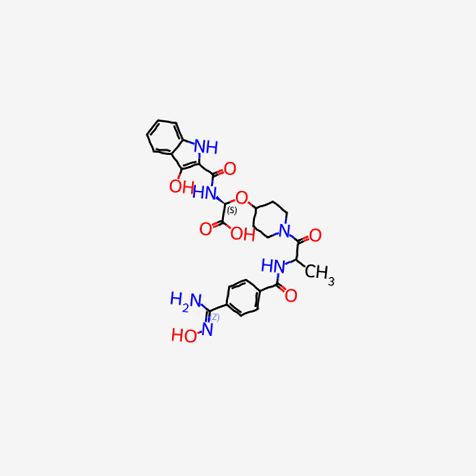 CC(NC(=O)c1ccc(/C(N)=N/O)cc1)C(=O)N1CCC(O[C@H](NC(=O)c2[nH]c3ccccc3c2O)C(=O)O)CC1